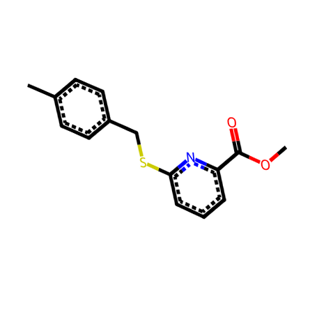 COC(=O)c1cccc(SCc2ccc(C)cc2)n1